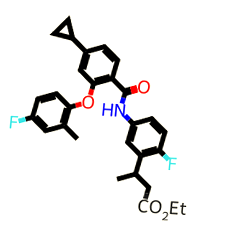 CCOC(=O)CC(C)c1cc(NC(=O)c2ccc(C3CC3)cc2Oc2ccc(F)cc2C)ccc1F